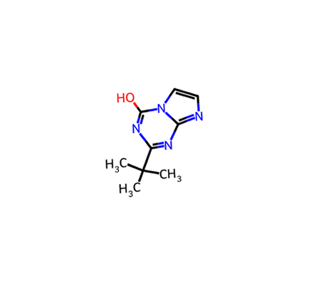 CC(C)(C)c1nc(O)n2ccnc2n1